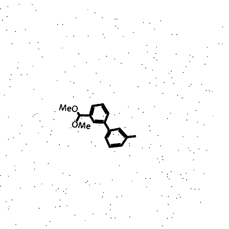 COC(OC)c1cccc(-c2cccc(C)c2)c1